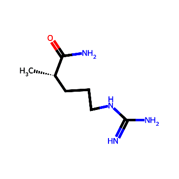 C[C@@H](CCCNC(=N)N)C(N)=O